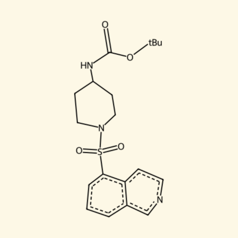 CC(C)(C)OC(=O)NC1CCN(S(=O)(=O)c2cccc3cnccc23)CC1